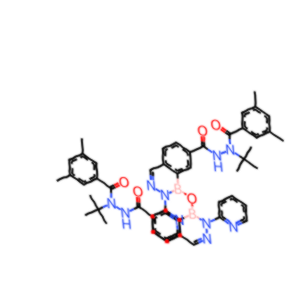 Cc1cc(C)cc(C(=O)N(NC(=O)c2ccc3c(c2)B(OB2C4=CC(C(=O)NN(C(=O)c5cc(C)cc(C)c5)C(C)(C)C)CC=C4C=NN2c2ccccn2)N(c2ccccn2)N=C3)C(C)(C)C)c1